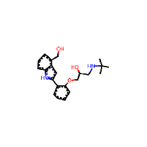 CC(C)(C)NCC(O)COc1ccccc1-c1cc2c(CO)cccc2[nH]1